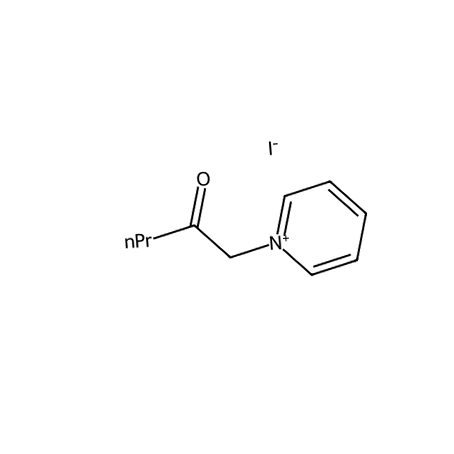 CCCC(=O)C[n+]1ccccc1.[I-]